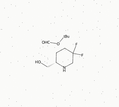 CC(C)(C)OC=O.OC[C@@H]1CCC(F)(F)CN1